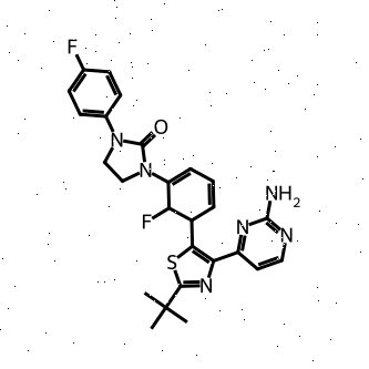 CC(C)(C)c1nc(-c2ccnc(N)n2)c(C2C=CC=C(N3CCN(c4ccc(F)cc4)C3=O)C2F)s1